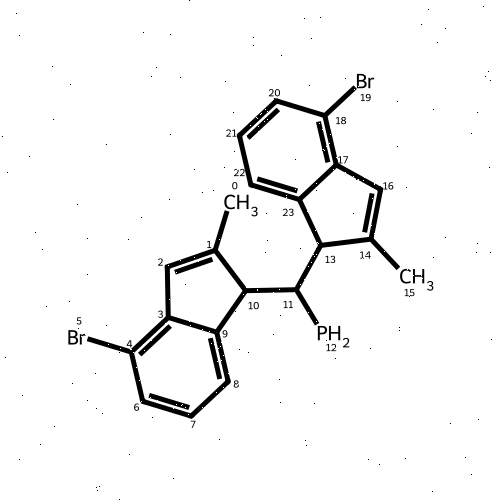 CC1=Cc2c(Br)cccc2C1C(P)C1C(C)=Cc2c(Br)cccc21